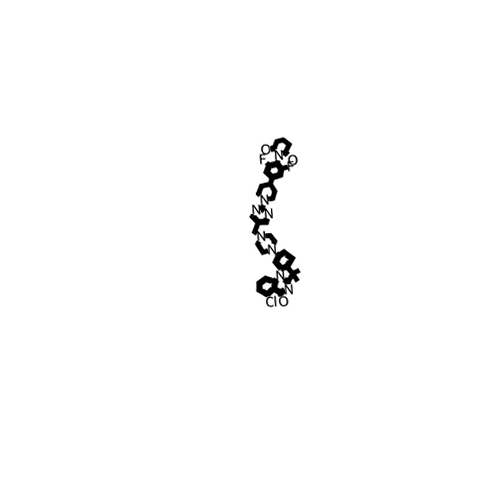 CC1(C)c2ccc(N3CCN(Cc4cnc(N5CCC(c6cc(F)c(N7C(=O)CCCC7=O)c(F)c6)CC5)nc4)CC3)cc2-n2c1nc(=O)c1c(Cl)cccc12